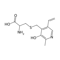 C=Cc1cnc(C)c(O)c1CSCC(N)C(=O)O